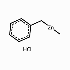 Cl.[CH3][Zn][CH2]c1ccccc1